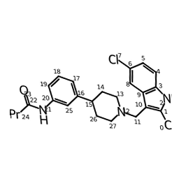 Cc1[nH]c2ccc(Cl)cc2c1CN1CCC(c2cccc(NC(=O)C(C)C)c2)CC1